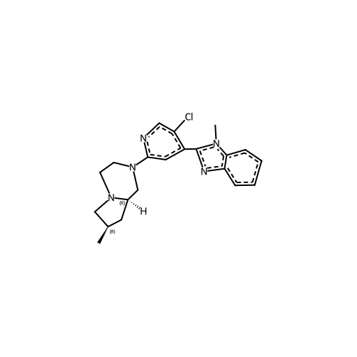 C[C@@H]1C[C@@H]2CN(c3cc(-c4nc5ccccc5n4C)c(Cl)cn3)CCN2C1